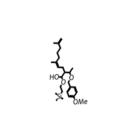 C=C(C)CCCC(C)=CCC(C(C)OCc1ccc(OC)cc1)C(O)OCC[Si](C)(C)C